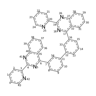 c1ccc(-c2nc(-c3cccc(-c4cccc(-c5nc(-c6ccccn6)nc6ccccc56)c4)c3)c3ccccc3n2)nc1